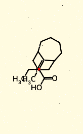 CCC(C(=O)O)=C1C2CCCCC1CN(C)C2